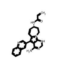 C=CC(=O)N[C@H]1C=Cc2c(-c3cnc4ccccc4c3)c3c(n2CC1)NCN=C3N